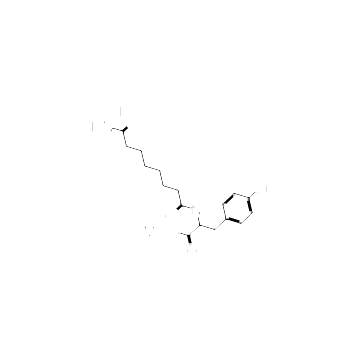 COC(=O)C(Cc1ccc(Br)cc1)NC(=O)CCCCCCC(=O)NO